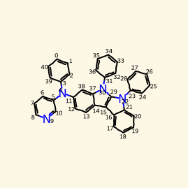 c1ccc(N(c2cccnc2)c2ccc3c4c5ccccc5n(-c5ccccc5)c4n(-c4ccccc4)c3c2)cc1